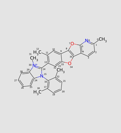 Cc1ccc2c(n1)oc1c3cc(C)c(-c4n(-c5c(C)cccc5C)c5ccccc5[n+]4C)cc3oc21